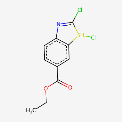 CCOC(=O)c1ccc2c(c1)[SH](Cl)C(Cl)=N2